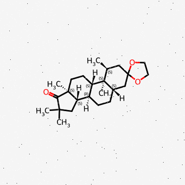 C[C@H]1CC2(C[C@@H]3CC[C@@H]4[C@H](CC[C@]5(C)C(=O)C(C)(C)C[C@@H]45)[C@]31C)OCCO2